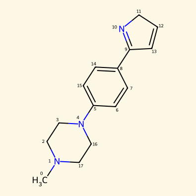 CN1CCN(c2ccc(C3=NCC=C3)cc2)CC1